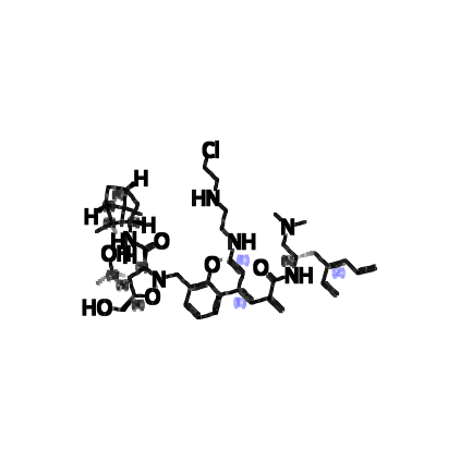 C=C/C=C(\C=C)C[C@@H](CN(C)C)NC(=O)C(=C)/C=C(\C=C\NCCNCCCl)c1cccc(CN2O[C@@H](CO)[C@H]([C@H](C)O)[C@H]2C(=O)N[C@H]2C[C@H]3C[C@@H]([C@@H]2C)C3(C)C)c1OC